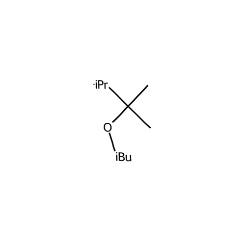 CCC(C)OC(C)(C)[C](C)C